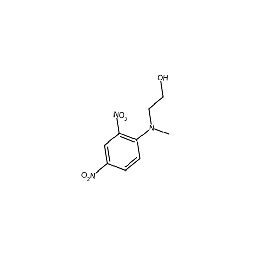 CN(CCO)c1ccc([N+](=O)[O-])cc1[N+](=O)[O-]